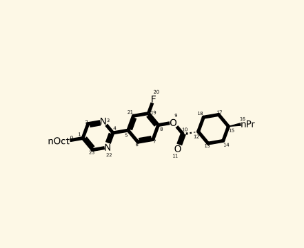 CCCCCCCCc1cnc(-c2ccc(OC(=O)[C@H]3CC[C@H](CCC)CC3)c(F)c2)nc1